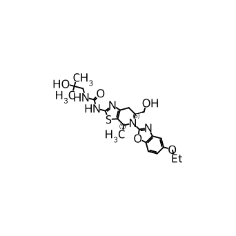 CCOc1ccc2oc(N3[C@H](CO)Cc4nc(NC(=O)NCC(C)(C)O)sc4[C@@H]3C)nc2c1